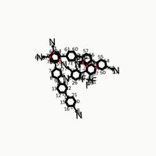 N#Cc1ccc(-c2ccc3c4ccc(-c5ccc(C#N)cc5)cc4n(-c4ccc(-c5c(C(F)(F)F)cccc5C(F)(F)F)c(-n5c6cc(-c7ccc(C#N)cc7)ccc6c6ccc(-c7ccc(C#N)cc7)cc65)c4C#N)c3c2)cc1